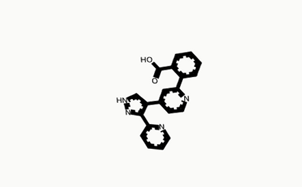 O=C(O)c1ccccc1-c1cc(-c2c[nH]nc2-c2ccccn2)ccn1